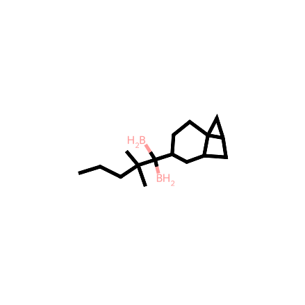 BC(B)(C1CCC23CC2CC3C1)C(C)(C)CCC